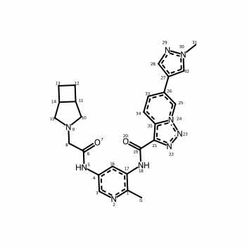 Cc1ncc(NC(=O)CN2CC3CCC3C2)cc1NC(=O)c1nnn2cc(-c3cnn(C)c3)ccc12